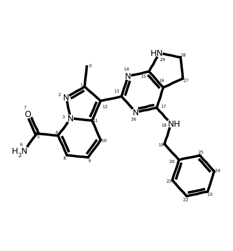 Cc1nn2c(C(N)=O)cccc2c1-c1nc2c(c(NCc3ccccc3)n1)CCN2